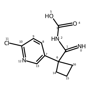 N=C(NC(=O)O)C1(c2ccc(Cl)nc2)CCC1